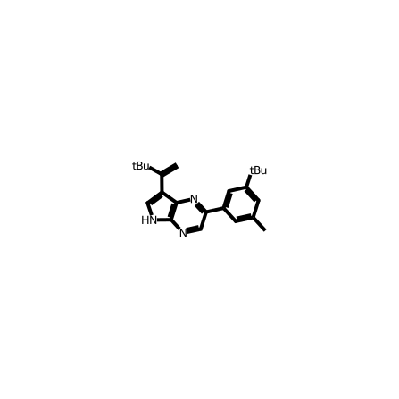 C=C(c1c[nH]c2ncc(-c3cc(C)cc(C(C)(C)C)c3)nc12)C(C)(C)C